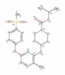 Cc1cnc(Oc2ccc(S(C)(=O)=O)cn2)nc1OC1CCN(C(=O)OC(C)C)CC1